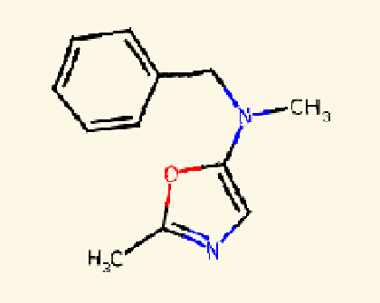 Cc1ncc(N(C)Cc2ccccc2)o1